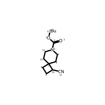 CC(C)(C)OC(=O)N1CCC2(CCC2C#N)CC1